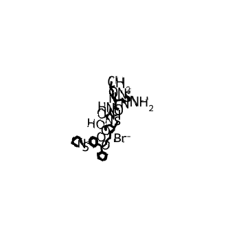 CCON=C(C(=O)NC1C(=O)N2C(C(=O)O)=C(C=CCC(=O)OC(c3ccccc3)c3cccc(S[n+]4ccccc4)c3)CS[C@@H]12)c1nsc(N)n1.[Br-]